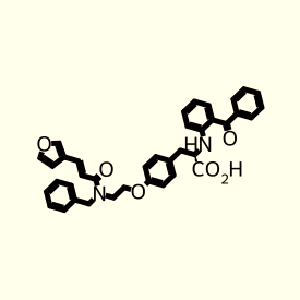 O=C(c1ccccc1)c1ccccc1N[C@@H](Cc1ccc(OCCN(Cc2ccccc2)C(=O)/C=C/c2ccoc2)cc1)C(=O)O